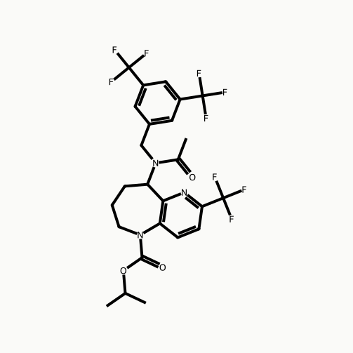 CC(=O)N(Cc1cc(C(F)(F)F)cc(C(F)(F)F)c1)C1CCCN(C(=O)OC(C)C)c2ccc(C(F)(F)F)nc21